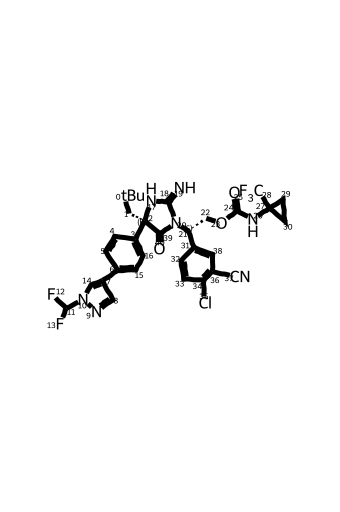 CC(C)(C)C[C@]1(c2ccc(-c3cnn(C(F)F)c3)cc2)NC(=N)N([C@H](COC(=O)NC2(C(F)(F)F)CC2)c2ccc(Cl)c(C#N)c2)C1=O